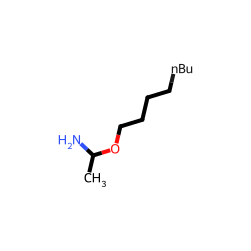 CCCCCCCCOC(C)N